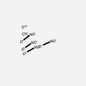 C.O=N[O-].O=N[O-].O=N[O-].O=N[O-].[Ti+4]